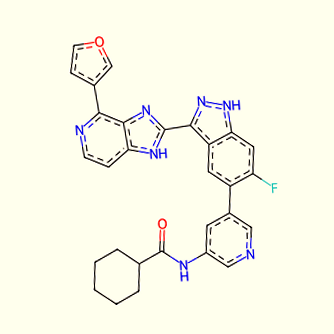 O=C(Nc1cncc(-c2cc3c(-c4nc5c(-c6ccoc6)nccc5[nH]4)n[nH]c3cc2F)c1)C1CCCCC1